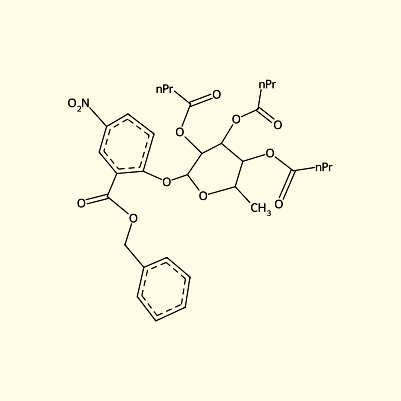 CCCC(=O)OC1C(C)OC(Oc2ccc([N+](=O)[O-])cc2C(=O)OCc2ccccc2)C(OC(=O)CCC)C1OC(=O)CCC